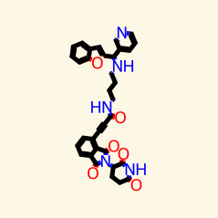 O=C(C#Cc1cccc2c1C(=O)N(C1CCC(=O)NC1=O)C2=O)NCCCCNC(c1cccnc1)c1cc2ccccc2o1